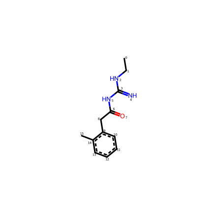 CCNC(=N)NC(=O)Cc1ccccc1C